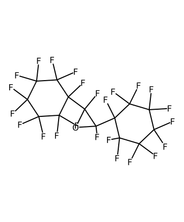 FC1(F)C(F)(F)C(F)(F)C(F)(C2(F)OC2(F)C2(F)C(F)(F)C(F)(F)C(F)(F)C(F)(F)C2(F)F)C(F)(F)C1(F)F